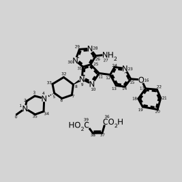 CN1CCN([C@H]2CC[C@H](n3nc(-c4ccc(Oc5ccccc5)nc4)c4c(N)ncnc43)CC2)CC1.O=C(O)/C=C\C(=O)O